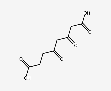 O=C(O)CCC(=O)CC(=O)CC(=O)O